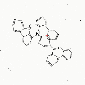 c1ccc(-c2ccccc2N(c2ccc(-c3cc4ccccc4c4ccccc34)cc2)c2cccc3c2sc2ccccc23)cc1